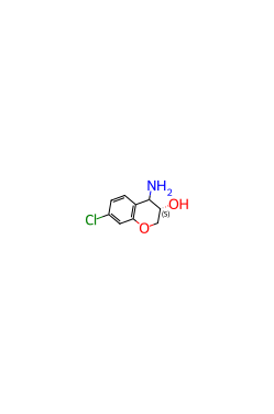 NC1c2ccc(Cl)cc2OC[C@H]1O